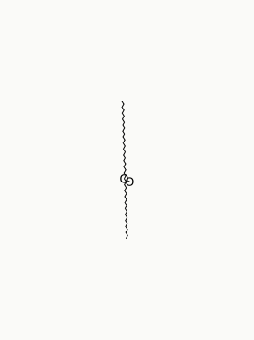 CCCCCCCCCCCCCCCCCCCCCCCCCCOC(=O)CCCCCCCCCCCCCCCCCCC